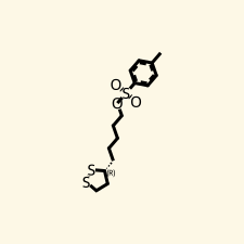 Cc1ccc(S(=O)(=O)OCCCCC[C@@H]2CCSS2)cc1